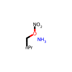 CCCCO[N+](=O)[O-].N